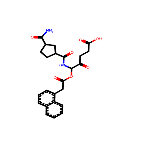 NC(=O)C1CCC(C(=O)NC(OC(=O)Cc2cccc3ccccc23)C(=O)CCC(=O)O)C1